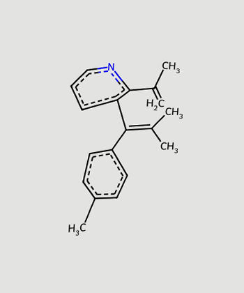 C=C(C)c1ncccc1C(=C(C)C)c1ccc(C)cc1